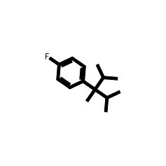 CC(C)C(C)(c1ccc(F)cc1)C(C)C